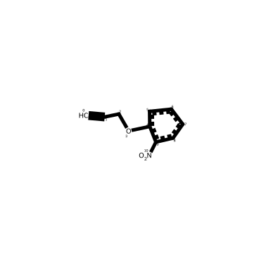 C#CCOc1cc[c]cc1[N+](=O)[O-]